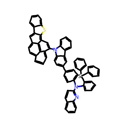 c1ccc([Si]2(c3ccccc3)c3ccccc3N(c3ccc4ccccc4n3)c3ccc(-c4ccc5c(c4)c4ccccc4n5-c4cc5c6sc7ccccc7c6cc6ccc7cccc4c7c65)cc32)cc1